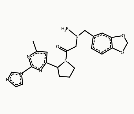 BN(CC(=O)N1CCCC1c1cc(C)nc(-n2ccnc2)n1)Cc1ccc2c(c1)OCO2